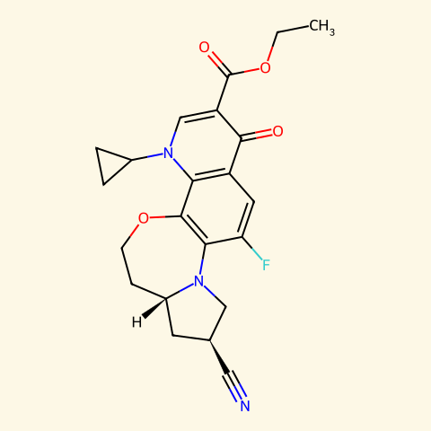 CCOC(=O)c1cn(C2CC2)c2c3c(c(F)cc2c1=O)N1C[C@@H](C#N)C[C@@H]1CCO3